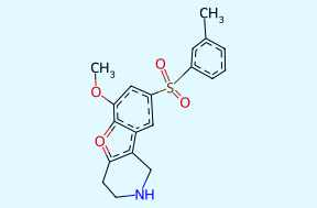 COc1cc(S(=O)(=O)c2cccc(C)c2)cc2c3c(oc12)CCNC3